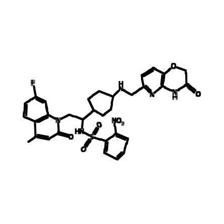 Cc1cc(=O)n(CC(NS(=O)(=O)c2ccccc2[N+](=O)[O-])C2CCC(NCc3ccc4c(n3)NC(=O)CO4)CC2)c2cc(F)ccc12